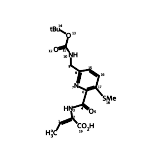 C/C=C(/NC(=O)c1nc(CNC(=O)OC(C)(C)C)ccc1SC)C(=O)O